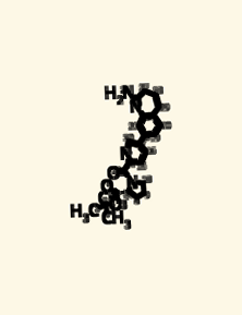 CC(C)(C)OC(=O)[C@H]1CCCN1C(=O)c1ccc(-c2ccc3c(c2)N=C(N)CC=C3)cn1